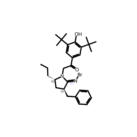 CCC[C@H]1C[C@H](Cc2ccccc2)/C(=N/Br)N1CC(=O)c1cc(C(C)(C)C)c(O)c(C(C)(C)C)c1